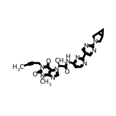 CC#CCn1c(=O)c2c(ncn2[C@@H](C)C(=O)Nc2ccnc(-c3cnc(N4CC5CC5C4)nc3)n2)n(C)c1=O